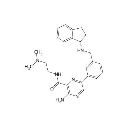 CN(C)CCNC(=O)c1nc(-c2cccc(CN[C@H]3CCc4ccccc43)c2)cnc1N